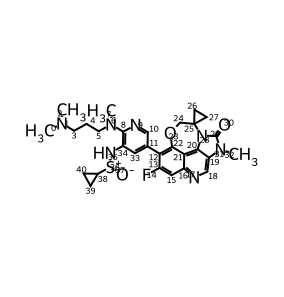 CN(C)CCCN(C)c1ncc(-c2c(F)cc3ncc4c5c3c2OCC2(CC2)n5c(=O)n4C)cc1N[S+]([O-])C1CC1